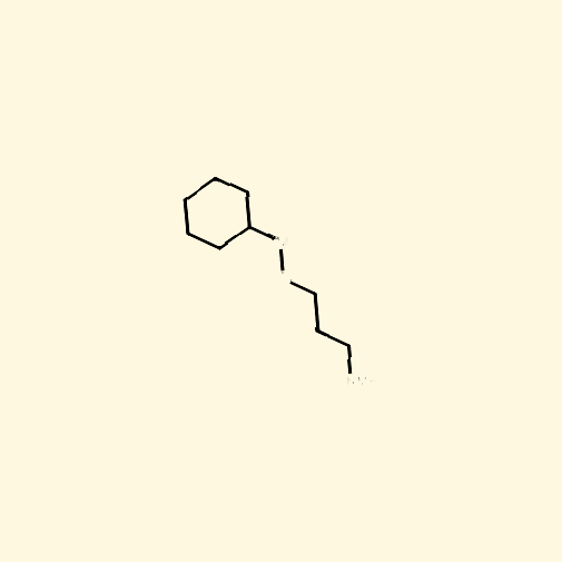 CNCCCONC1CCCCC1